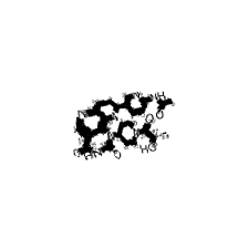 CC(=O)Nc1ccc(-c2ccc3ncc4c(=O)[nH]c(=O)n(C5CCN(C(=O)[C@H](C)O)CC5)c4c3n2)cn1